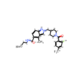 COCCNC(=O)c1ccc2nn(CC3CCN(C(=O)c4ccc(C(F)(F)F)cc4F)CC3)cc2c1C